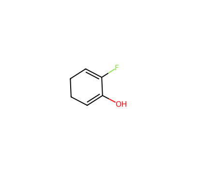 OC1=CCCC=C1F